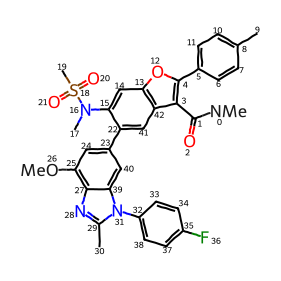 CNC(=O)c1c(-c2ccc(C)cc2)oc2cc(N(C)S(C)(=O)=O)c(-c3cc(OC)c4nc(C)n(-c5ccc(F)cc5)c4c3)cc12